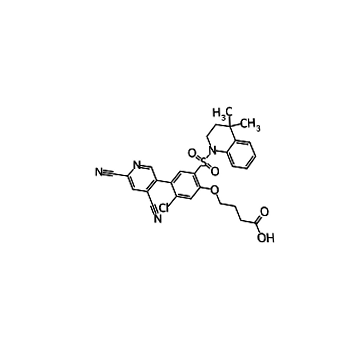 CC1(C)CCN(S(=O)(=O)c2cc(-c3cnc(C#N)cc3C#N)c(Cl)cc2OCCCC(=O)O)c2ccccc21